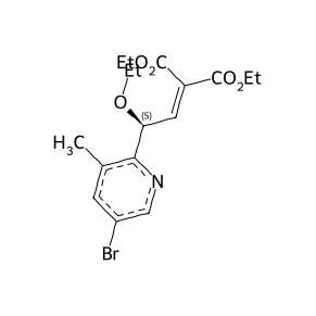 CCOC(=O)C(=C[C@H](OCC)c1ncc(Br)cc1C)C(=O)OCC